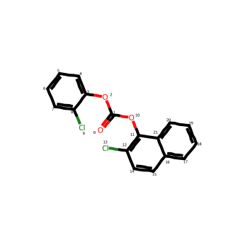 O=C(Oc1ccccc1Cl)Oc1c(Cl)ccc2ccccc12